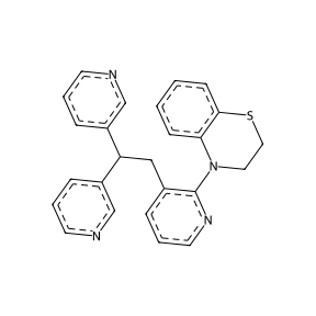 c1cncc(C(Cc2cccnc2N2CCSc3ccccc32)c2cccnc2)c1